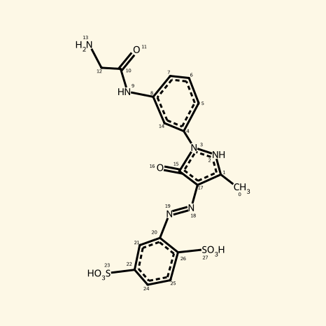 Cc1[nH]n(-c2cccc(NC(=O)CN)c2)c(=O)c1N=Nc1cc(S(=O)(=O)O)ccc1S(=O)(=O)O